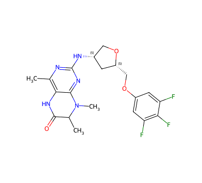 Cc1nc(N[C@@H]2CO[C@H](COc3cc(F)c(F)c(F)c3)C2)nc2c1NC(=O)C(C)N2C